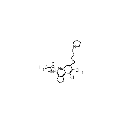 Cc1c(OCCCN2CCCC2)cc2nc(NC(C)C)c3c(c2c1Cl)CCC3